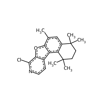 Cc1cc2c(c3c1oc1c(Cl)nccc13)C(C)(C)CCC2(C)C